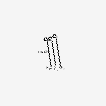 Br.CCCCCCCCCCCCCCCCCCCC[n+]1ccccc1.CCCCCCCCCCCCCCCCCCN1C=CC=CC1.CCCCCCCCCCCCCCCCCC[n+]1ccccc1.Cl.Cl